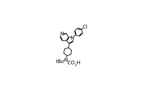 CC(C)(C)N(C(=O)O)C1CCC(c2cn(-c3ccc(Cl)cc3)c3cnccc23)CC1